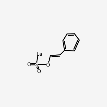 O=[S](=O)([La])OC=Cc1ccccc1